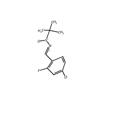 CC(C)(C)[S+]([O-])/N=C/c1ccc(Cl)cc1F